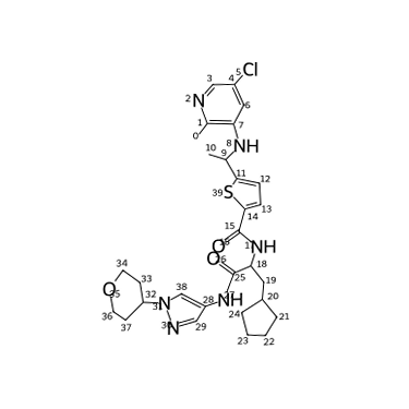 Cc1ncc(Cl)cc1NC(C)c1ccc(C(=O)NC(CC2CCCC2)C(=O)Nc2cnn(C3CCOCC3)c2)s1